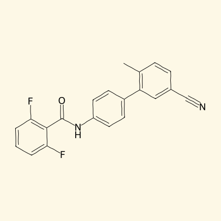 Cc1ccc(C#N)cc1-c1ccc(NC(=O)c2c(F)cccc2F)cc1